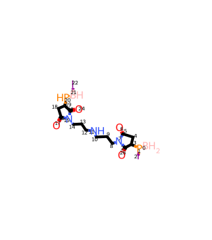 BP(I)C1CC(=O)N(CCCNCCCN2C(=O)CC(PBI)C2=O)C1=O